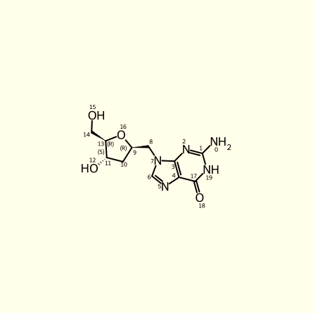 Nc1nc2c(ncn2C[C@H]2C[C@H](O)[C@@H](CO)O2)c(=O)[nH]1